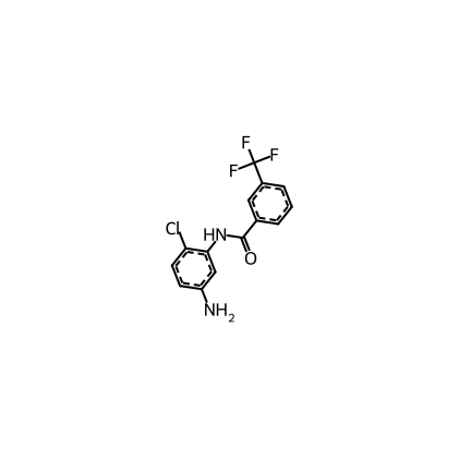 Nc1ccc(Cl)c(NC(=O)c2cccc(C(F)(F)F)c2)c1